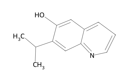 CC(C)c1cc2ncccc2cc1O